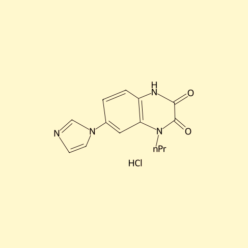 CCCn1c(=O)c(=O)[nH]c2ccc(-n3ccnc3)cc21.Cl